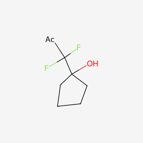 CC(=O)C(F)(F)C1(O)CCCC1